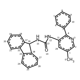 Cc1cnc(-c2ccccc2)c(NC(=O)NC2c3ccccc3-c3ccccc32)c1